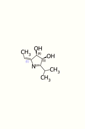 C/C=C1/N=C(C(C)C)[C@H](O)[C@@H]1O